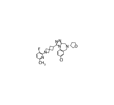 Cc1ccc(F)c(N2CC3(CC(c4nnc5n4-c4ccc(Cl)cc4CN([C@@H]4CCOC4)C5)C3)C2)n1